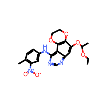 CCOC(C)Oc1cc2ncnc(Nc3ccc(C)c([N+](=O)[O-])c3)c2c2c1OCCO2